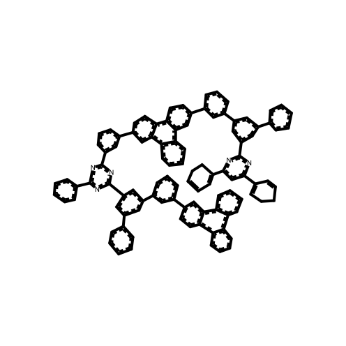 C1=CCCC(c2cc(C3=CCCC=C3)nc(-c3cc(-c4ccccc4)cc(-c4cccc(-c5ccc6c7ccc(-c8cccc(-c9nc(-c%10ccccc%10)nc(-c%10cc(-c%11ccccc%11)cc(-c%11cccc(-c%12ccc%13c%14ccccc%14c%14ccccc%14c%13c%12)c%11)c%10)n9)c8)cc7c7ccccc7c6c5)c4)c3)n2)=C1